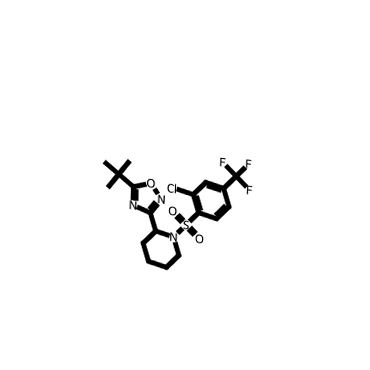 CC(C)(C)c1nc(C2CCCCN2S(=O)(=O)c2ccc(C(F)(F)F)cc2Cl)no1